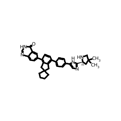 CC1(C)CN[C@H](c2ncc(-c3ccc(-c4ccc(-c5ccc6nc[nH]c(=O)c6c5)c5c4CC4(CCCC4)C5)cc3)[nH]2)C1